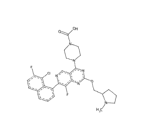 CN1CCCC1COc1nc(N2CCN(C(=O)O)CC2)c2cnc(-c3cccc4ccc(F)c(Cl)c34)c(F)c2n1